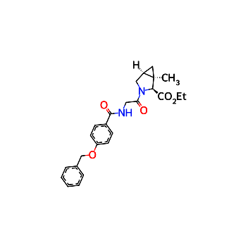 CCOC(=O)[C@H]1N(C(=O)CNC(=O)c2ccc(OCc3ccccc3)cc2)C[C@H]2C[C@]21C